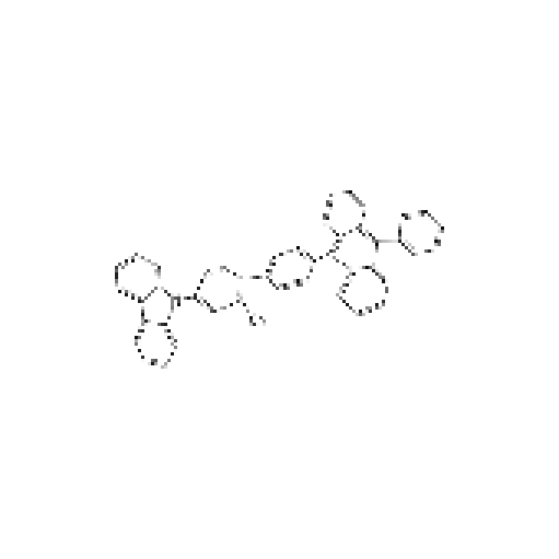 N#Cc1cc(-n2c3ccccc3c3ccccc32)ccc1-c1ccc(-c2c3ccccc3c(-c3ccccc3)c3ccccc23)cc1